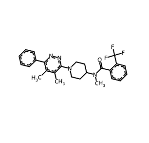 Cc1c(-c2ccccc2)nnc(N2CCC(N(C)C(=O)c3ccccc3C(F)(F)F)CC2)c1C